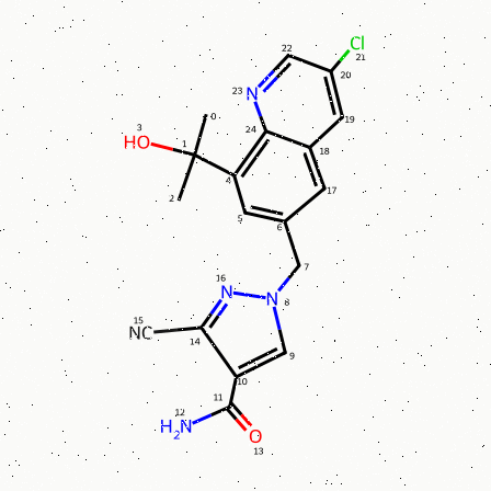 CC(C)(O)c1cc(Cn2cc(C(N)=O)c(C#N)n2)cc2cc(Cl)cnc12